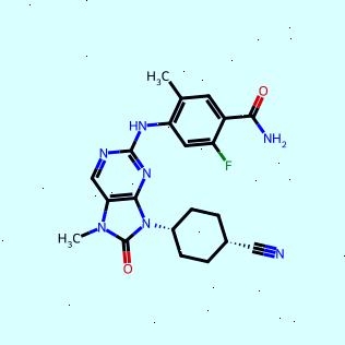 Cc1cc(C(N)=O)c(F)cc1Nc1ncc2c(n1)n([C@H]1CC[C@@H](C#N)CC1)c(=O)n2C